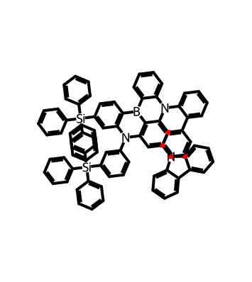 c1ccc(-c2ccccc2N2c3ccccc3B3c4ccc([Si](c5ccccc5)(c5ccccc5)c5ccccc5)cc4N(c4cccc([Si](c5ccccc5)(c5ccccc5)c5ccccc5)c4)c4cc(-n5c6ccccc6c6ccccc65)cc2c43)cc1